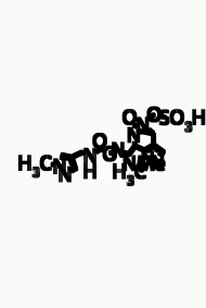 CN/C(=N\OC(=O)NCc1cnn(C)c1)C1c2c(cnn2C)C2CN1C(=O)N2OS(=O)(=O)O